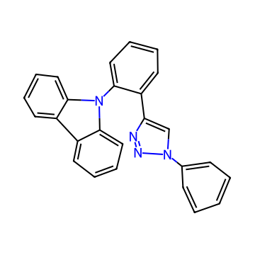 c1ccc(-n2cc(-c3ccccc3-n3c4ccccc4c4ccccc43)nn2)cc1